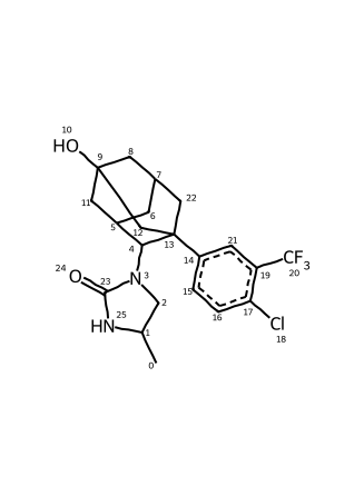 CC1CN(C2C3CC4CC(O)(C3)CC2(c2ccc(Cl)c(C(F)(F)F)c2)C4)C(=O)N1